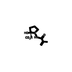 C=C(C)C(=O)NN1CCC[C@@]1(O)C(=O)O